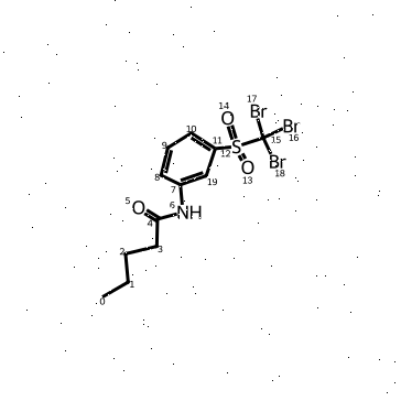 CCCCC(=O)Nc1cccc(S(=O)(=O)C(Br)(Br)Br)c1